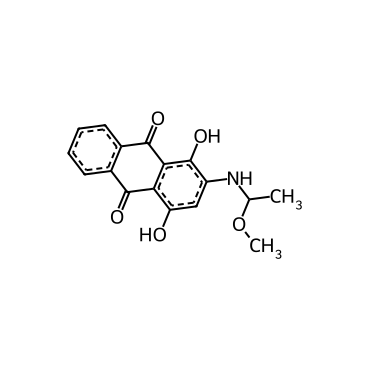 COC(C)Nc1cc(O)c2c(c1O)C(=O)c1ccccc1C2=O